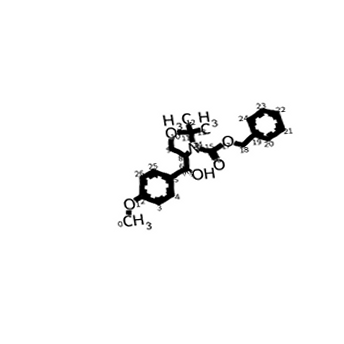 COc1ccc([C@@H](O)C2COC(C)(C)N2C(=O)OCc2ccccc2)cc1